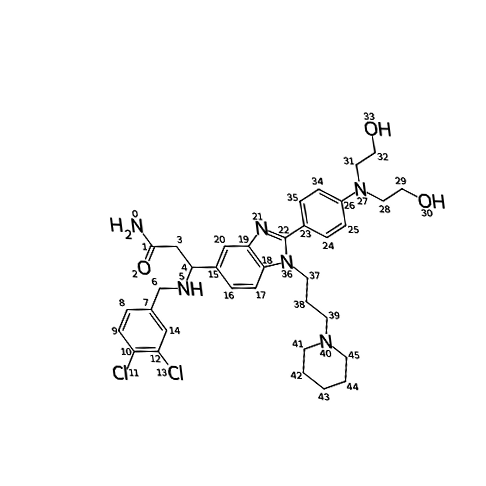 NC(=O)CC(NCc1ccc(Cl)c(Cl)c1)c1ccc2c(c1)nc(-c1ccc(N(CCO)CCO)cc1)n2CCCN1CCCCC1